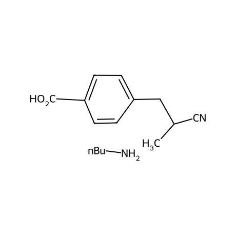 CC(C#N)Cc1ccc(C(=O)O)cc1.CCCCN